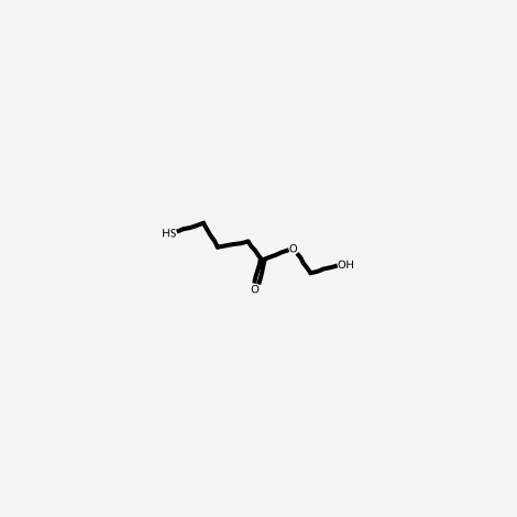 O=C(CCCS)OCO